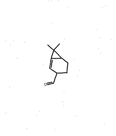 CC1(C)C2=CC(C=O)CCC21